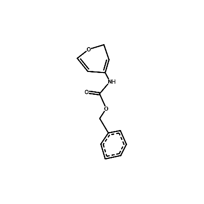 O=C(NC1=CCOC=C1)OCc1ccccc1